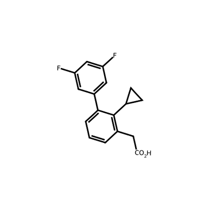 O=C(O)Cc1cccc(-c2cc(F)cc(F)c2)c1C1CC1